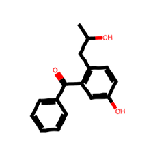 CC(O)Cc1ccc(O)cc1C(=O)c1ccccc1